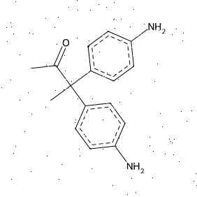 CC(=O)C(C)(c1ccc(N)cc1)c1ccc(N)cc1